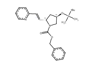 CC(C)(C)[Si](C)(C)O[C@@H]1C[C@@H](/C=C/c2ccccn2)N(C(=O)OCc2ccccc2)C1